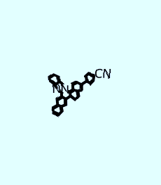 N#Cc1ccc(-c2ccc3cc(-c4cc5ccccc5cc4-c4ncc5ccccc5n4)ccc3c2)cc1